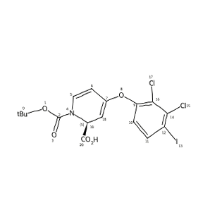 CC(C)(C)OC(=O)N1C=CC(Oc2ccc(I)c(Cl)c2Cl)=C[C@H]1C(=O)O